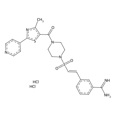 Cc1nc(-c2ccncc2)sc1C(=O)N1CCN(S(=O)(=O)C=Cc2cccc(C(=N)N)c2)CC1.Cl.Cl